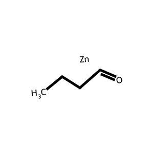 CCCC=O.[Zn]